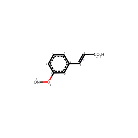 O=NOc1cccc(/C=C/C(=O)O)c1